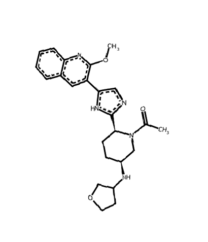 COc1nc2ccccc2cc1-c1cnc([C@@H]2CC[C@H](NC3CCOC3)CN2C(C)=O)[nH]1